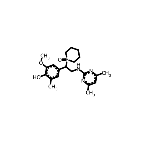 COc1cc(C(CNc2nc(C)cc(C)n2)P2(=O)CCCCC2)cc(C)c1O